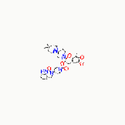 Cc1cc(C[C@@H](OC(=O)N2CCC(N3CCc4ccccc4NC3=O)CC2)C(=O)N2CCC(N3CCC(C)(C)CC3)CC2)cc2c1OCCO2